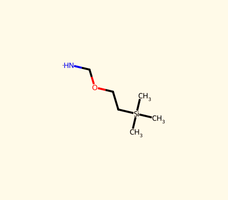 C[Si](C)(C)CCOC[NH]